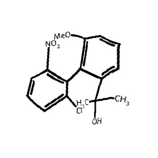 COc1cccc(C(C)(C)O)c1-c1c(Cl)cccc1[N+](=O)[O-]